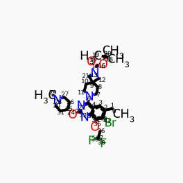 CCc1cc2c(N3CCC4(CC3)CN(C(=O)OC(C)(C)C)C4)nc(OC3CCN(C)CC3)nc2c(OCC(F)F)c1Br